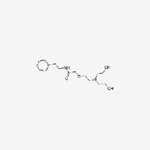 O=C(COCCN(CCO)CCO)NCCc1ccccc1